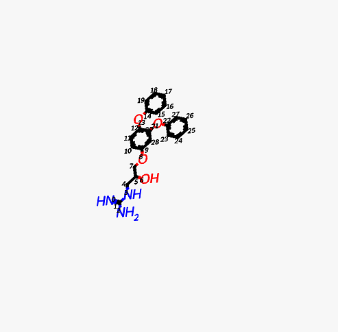 N=C(N)NCC(O)COc1ccc(Oc2ccccc2)c(Oc2ccccc2)c1